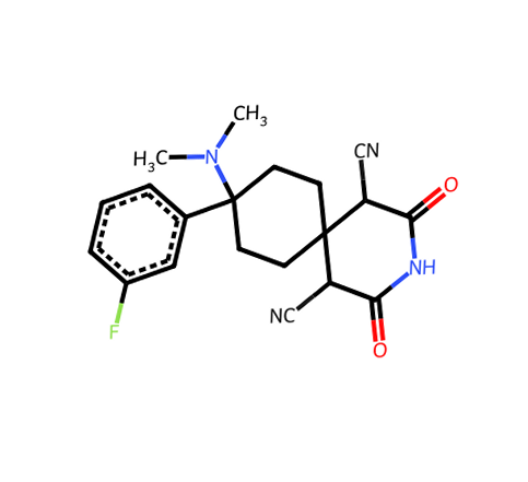 CN(C)C1(c2cccc(F)c2)CCC2(CC1)C(C#N)C(=O)NC(=O)C2C#N